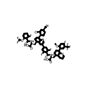 COc1cc(F)c(C(F)(F)F)cc1-c1ccc(C[C@H](NC(=O)c2c(F)cc(-c3cnc4c(-c5ccc(C#N)cc5Cl)ccc(C[C@H](NC(=O)c5c(F)cccc5OC(F)F)C(=O)O)c4c3)cc2F)C(=O)O)c2cccnc12